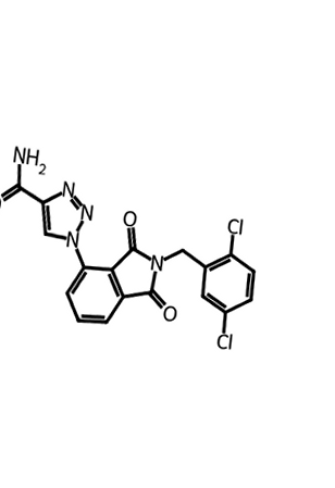 NC(=O)c1cn(-c2cccc3c2C(=O)N(Cc2cc(Cl)ccc2Cl)C3=O)nn1